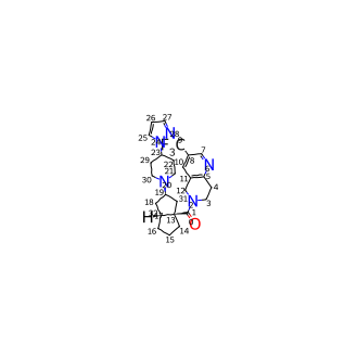 O=C(N1CCc2ncc(C(F)(F)F)cc2C1)[C@@]12CCC[C@@H]1C[C@@H](N1CCC(n3cccn3)CC1)C2